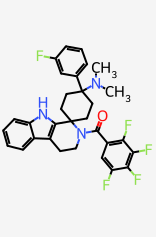 CN(C)C1(c2cccc(F)c2)CCC2(CC1)c1[nH]c3ccccc3c1CCN2C(=O)c1cc(F)c(F)c(F)c1F